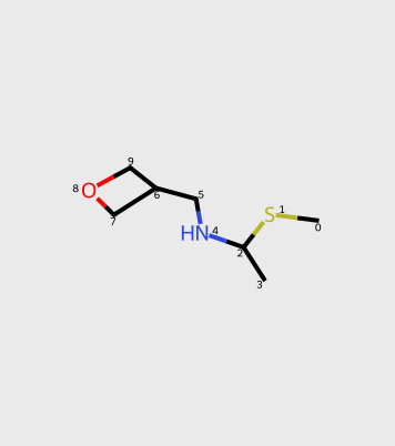 CSC(C)NCC1COC1